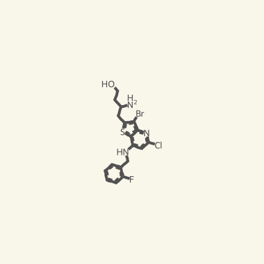 NC(CCO)Cc1sc2c(NCc3ccccc3F)cc(Cl)nc2c1Br